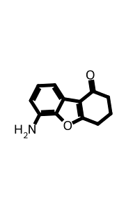 Nc1cccc2c3c(oc12)CCCC3=O